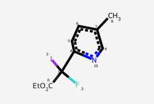 CCOC(=O)C(F)(I)c1ccc(C)cn1